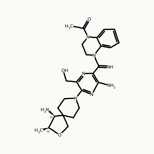 CC(=O)N1CCN(C(=N)c2nc(CO)c(N3CCC4(CC3)CO[C@@H](C)[C@H]4N)nc2N)c2ccccc21